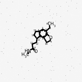 CCc1cc2c(c3c1OCC3)C(CCC(=O)NC)CC2